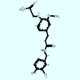 COc1cc(CCC(=O)NCc2ccc(Cl)c(Cl)c2)ccc1OCC(C)=O